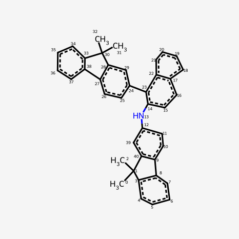 CC1(C)c2ccccc2-c2ccc(Nc3ccc4ccccc4c3-c3ccc4c(c3)C(C)(C)c3ccccc3-4)cc21